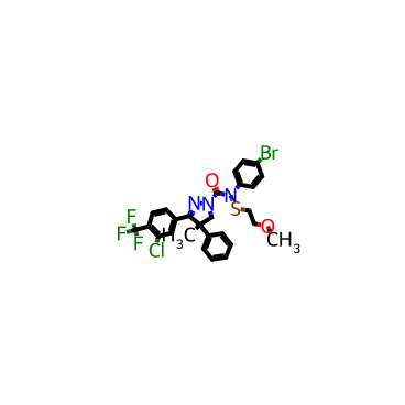 COCCSN(C(=O)N1CC(C)(c2ccccc2)C(c2ccc(C(F)(F)F)c(Cl)c2)=N1)c1ccc(Br)cc1